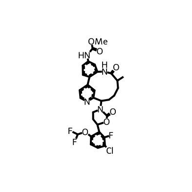 COC(=O)Nc1ccc2c(c1)NC(=O)C(C)CCCC(N1CCC(c3c(OC(F)F)ccc(Cl)c3F)OC1=O)c1cc-2ccn1